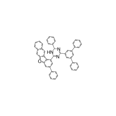 c1ccc(-c2cc(C3=NC(c4ccccc4)NC(c4cc(-c5ccccc5)cc5oc6cc7ccccc7cc6c45)=N3)cc(-c3ccccc3)c2)cc1